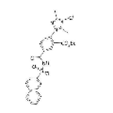 CCOC(=O)c1cc(C(=O)NS(=O)(=O)c2ccc3ccccc3c2)ccc1-n1nc(C)c(Cl)c1C